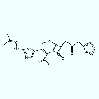 CC(C)=NNc1ncc(C2=C(C(=O)O)N3C(=O)C(NC(=O)Cc4cccs4)C3SC2)s1